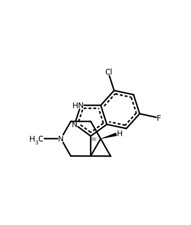 CN1CC[C@@H]2CC2(c2n[nH]c3c(Cl)cc(F)cc23)C1